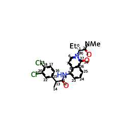 CC[C@H](C(=O)NC)n1ccc2c(NC(=O)C(C)c3ccc(Cl)c(Cl)c3)cccc2c1=O